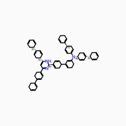 C1=CCCC(C2=CC=C(C3=N[C@H](C4=CCC(C5=CCCC(N(C6=CC[C@H](C7=CCCC=C7)C=C6)[C@H]6C=CC([C@H]7C=CC=CC7)=CC6)=C5)C=C4)NC([C@H]4C=CC([C@H]5C=CC=CC5)=CC4)=C3)CC2)=C1